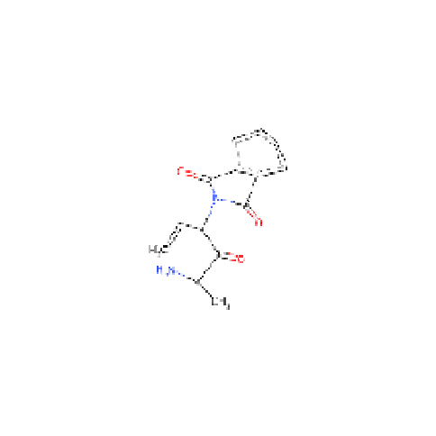 C=CC(C(=O)C(C)N)N1C(=O)c2ccccc2C1=O